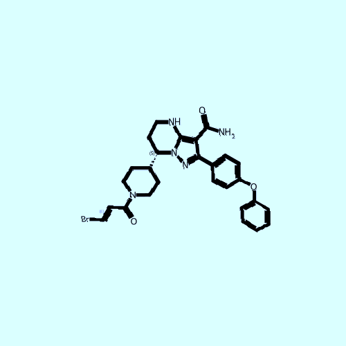 NC(=O)c1c(-c2ccc(Oc3ccccc3)cc2)nn2c1NCC[C@H]2C1CCN(C(=O)/C=C/Br)CC1